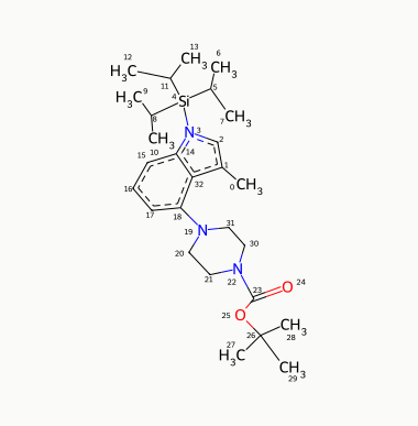 Cc1cn([Si](C(C)C)(C(C)C)C(C)C)c2cccc(N3CCN(C(=O)OC(C)(C)C)CC3)c12